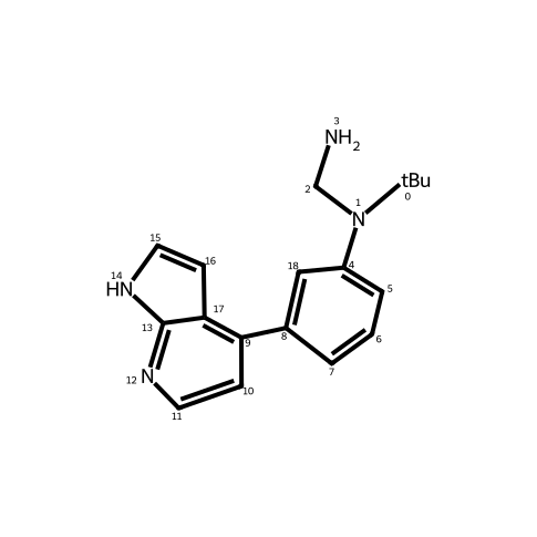 CC(C)(C)N(CN)c1cccc(-c2ccnc3[nH]ccc23)c1